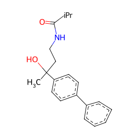 CC(C)C(=O)NCCC(C)(O)c1ccc(-c2ccccc2)cc1